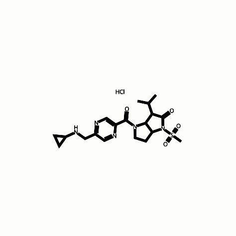 CC(C)C1C(=O)N(S(C)(=O)=O)C2CCN(C(=O)c3cnc(CNC4CC4)cn3)C12.Cl